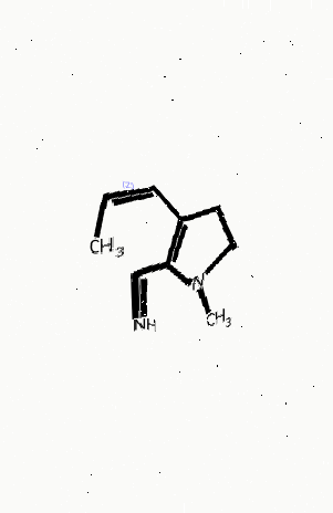 C/C=C\C1=C(C=N)N(C)CC1